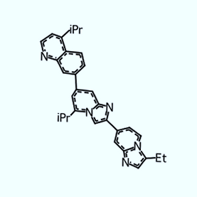 CCc1cnc2cc(-c3cn4c(C(C)C)cc(-c5ccc6c(C(C)C)ccnc6c5)cc4n3)ccn12